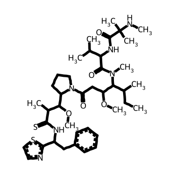 CCC(C)C(C(CC(=O)N1CCCC1C(OC)C(C)C(=S)NC(Cc1ccccc1)c1nccs1)OC)N(C)C(=O)C(NC(=O)C(C)(C)NC)C(C)C